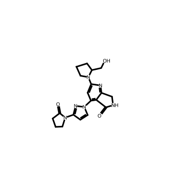 O=C1NCc2nc(N3CCCC3CO)cc(-n3ccc(N4CCCC4=O)n3)c21